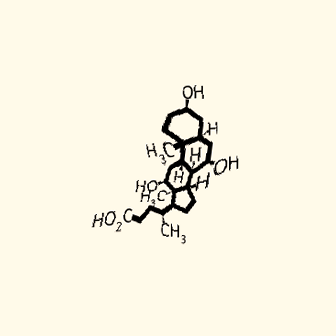 C[C@H](CCC(=O)O)C1CC[C@H]2[C@@H]3[C@H](O)C[C@@H]4C[C@H](O)CCC4(C)[C@H]3C[C@H](O)[C@]12C